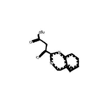 CC(C)(C)C(=O)CC(=O)c1ncc2ccccc2n1